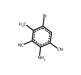 Cc1c(Br)cc(C#N)c(N)c1C#N